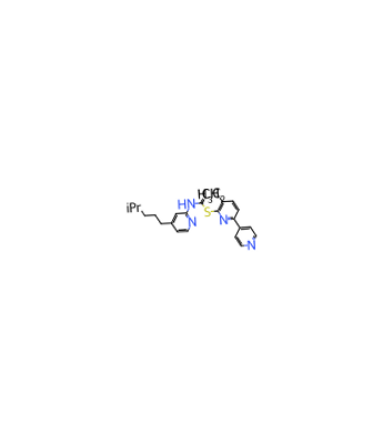 C=C(Nc1cc(CCCC(C)C)ccn1)Sc1nc(-c2ccncc2)ccc1C